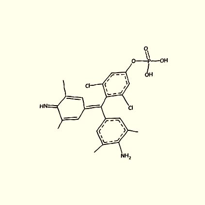 CC1=CC(=C(c2cc(C)c(N)c(C)c2)c2c(Cl)cc(OP(=O)(O)O)cc2Cl)C=C(C)C1=N